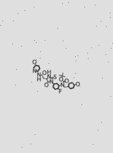 COc1ccc(CN(C(=O)OC(C)(C)C)c2cc(N3C(=O)C(CC(=O)Nc4ccc(OC)cn4)NC3=S)ccc2F)cc1